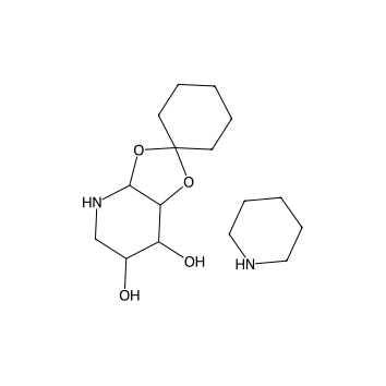 C1CCNCC1.OC1CNC2OC3(CCCCC3)OC2C1O